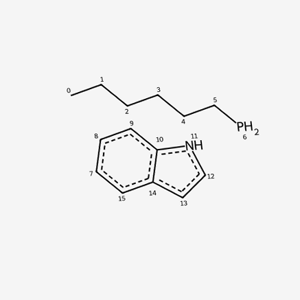 CCCCCCP.c1ccc2[nH]ccc2c1